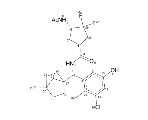 CC(=O)N[C@H]1C[C@@H](C(=O)N[C@H](c2cc(O)cc(Cl)c2F)C23CCC(F)(CC2)C3)CC1(F)F